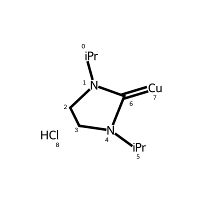 CC(C)N1CCN(C(C)C)[C]1=[Cu].Cl